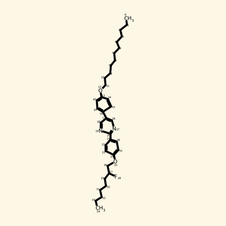 CCCCCCCCCCCCOc1ccc(-c2cnc(-c3ccc(OCC(F)CCCCCC)cc3)nc2)cc1